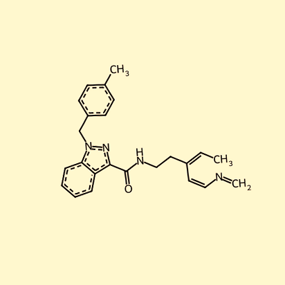 C=N/C=C\C(=C/C)CCNC(=O)c1nn(Cc2ccc(C)cc2)c2ccccc12